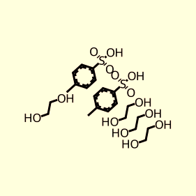 Cc1ccc(S(=O)(=O)O)cc1.Cc1ccc(S(=O)(=O)O)cc1.OCCO.OCCO.OCCO.OCCO